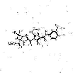 CNC(=O)C1(NC(=O)C(=O)c2c(C)c(C(=O)Nc3ccc(F)c(C(F)F)c3)n3c2CCC3)CC(F)(F)C1